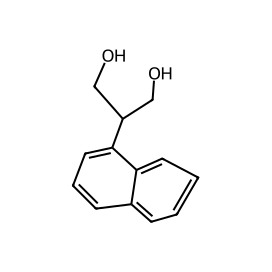 OCC(CO)c1cccc2ccccc12